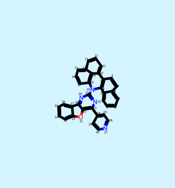 c1ccc2c3c(ccc2c1)-c1cccc2cccc(c12)N3c1nc(-c2ccncc2)c2oc3ccccc3c2n1